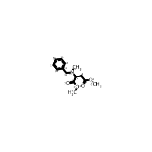 COC(=O)C[C@@H](C(=O)OC)N(C)Cc1ccccc1